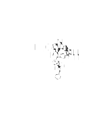 CCc1cccn2c(-c3nc(N[C@@H](C)c4ccc(C(O)C5CCCN(C(=O)OCc6ccccc6)C5)cc4)ncc3C#N)cnc12